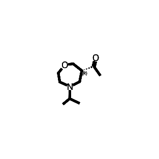 CC(=O)[C@H]1COCCN(C(C)C)C1